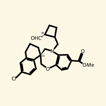 COC(=O)c1ccc2c(c1)N(CC1CC[C@H]1C=O)C[C@@]1(CCCc3cc(Cl)ccc31)CO2